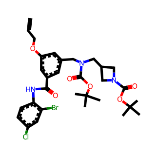 C=CCOc1cc(CN(CC2CN(C(=O)OC(C)(C)C)C2)C(=O)OC(C)(C)C)cc(C(=O)Nc2ccc(Cl)cc2Br)c1